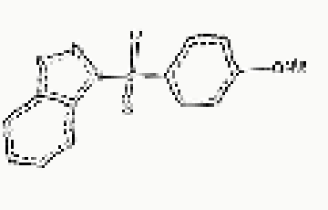 COc1ccc(S(=O)(=O)n2nnc3ccccc32)cc1